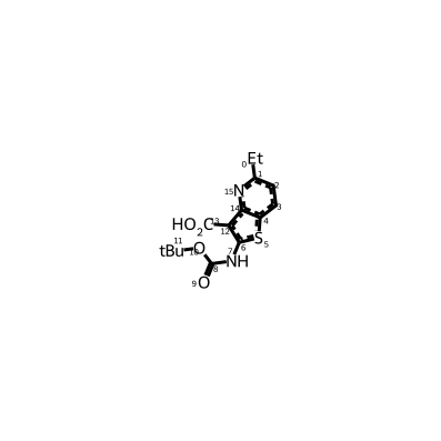 CCc1ccc2sc(NC(=O)OC(C)(C)C)c(C(=O)O)c2n1